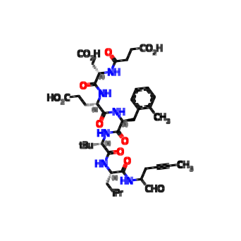 CC#CCC(C=O)NC(=O)[C@H](CC(C)C)NC(=O)[C@@H](NC(=O)[C@H](Cc1ccccc1C)NC(=O)[C@H](CCC(=O)O)NC(=O)[C@H](CC(=O)O)NC(=O)CCC(=O)O)C(C)(C)C